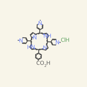 CN1C=CC(c2c3nc(c(C4=CCN(C)C=C4)c4ccc([nH]4)c(-c4ccc(C(=O)O)cc4)c4nc(c(C5=CCN(C)C=C5)c5ccc2[nH]5)C=C4)C=C3)=CC1.Cl